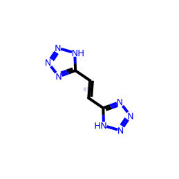 C(=C\c1nnn[nH]1)/c1nnn[nH]1